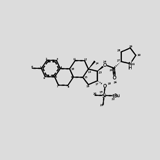 Cc1ccc2c(c1)CCC1C2CC[C@@]2(C)C1C[C@@H](O[Si](C)(C)C(C)(C)C)[C@@H]2OC(=O)[C@@H]1CCCN1